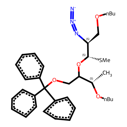 CCCCOC[C@H](N=[N+]=[N-])[C@@H](OC(COC(c1ccccc1)(c1ccccc1)c1ccccc1)[C@H](C)OCCCC)SC